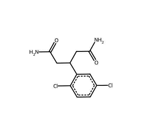 NC(=O)CC(CC(N)=O)c1cc(Cl)ccc1Cl